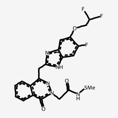 CSNC(=O)Cn1nc(Cc2nc3cc(OCC(F)F)c(F)cc3[nH]2)c2ccccc2c1=O